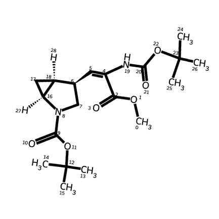 COC(=O)/C(=C\[C@H]1CN(C(=O)OC(C)(C)C)[C@H]2C[C@@H]12)NC(=O)OC(C)(C)C